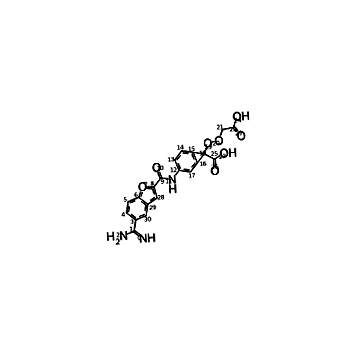 N=C(N)c1ccc2oc(C(=O)Nc3ccc4c(c3)C4(OOCC(=O)O)C(=O)O)cc2c1